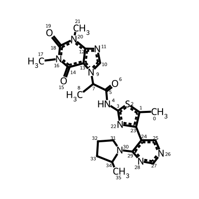 Cc1sc(NC(=O)C(C)n2cnc3c2c(=O)n(C)c(=O)n3C)nc1-c1cncnc1N1CCCC1C